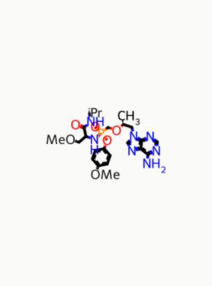 COCC(NP(=O)(CO[C@H](C)Cn1cnc2c(N)ncnc21)Oc1ccc(OC)cc1)C(=O)NC(C)C